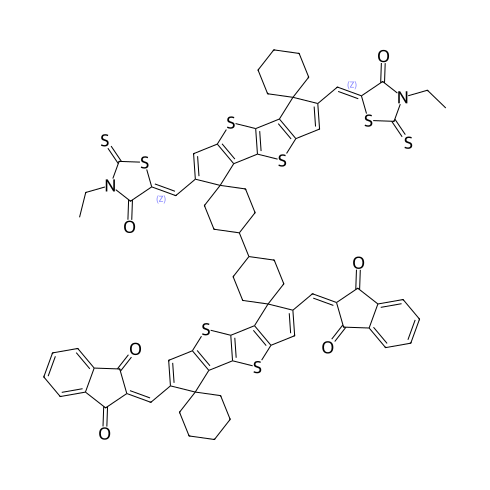 CCN1C(=O)/C(=C/C2=Cc3sc4c5c(sc4c3C23CCCCC3)C=C(/C=C2\SC(=S)N(CC)C2=O)C52CCC(C3CCC4(CC3)C(C=C3C(=O)c5ccccc5C3=O)=Cc3sc5c6c(sc5c34)C=C(C=C3C(=O)c4ccccc4C3=O)C63CCCCC3)CC2)SC1=S